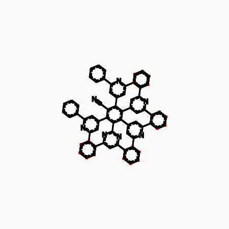 N#Cc1c(-c2cc(-c3ccccc3)nc(-c3ccccc3)c2)c(-c2cc(-c3ccccc3)nc(-c3ccccc3)c2)c(-c2cc(-c3ccccc3)nc(-c3ccccc3)c2)c(-c2nc(-c3ccccc3)cc(-c3ccccc3)n2)c1-c1cc(-c2ccccc2)nc(-c2ccccc2)c1